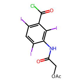 CC(=O)OCC(=O)Nc1c(I)cc(I)c(C(=O)Cl)c1I